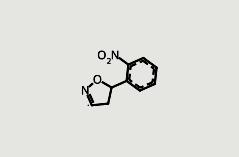 O=[N+]([O-])c1ccccc1C1C[C]=NO1